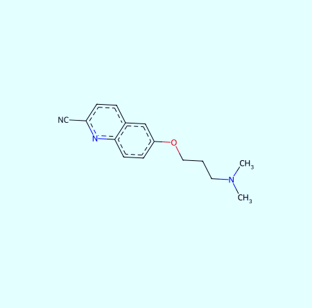 CN(C)CCCOc1ccc2nc(C#N)ccc2c1